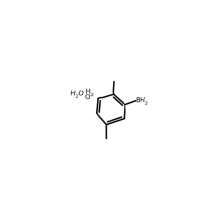 Bc1cc(C)ccc1C.O.O